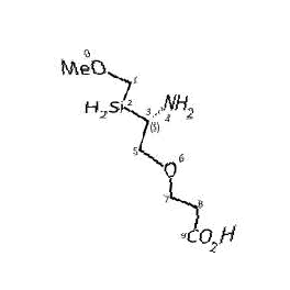 COC[SiH2][C@H](N)COCCC(=O)O